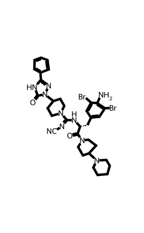 N#CN=C(N[C@H](Cc1cc(Br)c(N)c(Br)c1)C(=O)N1CCC(N2CCCCC2)CC1)N1CCC(n2nc(-c3ccccc3)[nH]c2=O)CC1